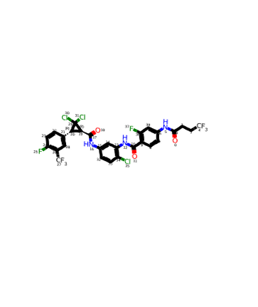 O=C(CCC(F)(F)F)Nc1ccc(C(=O)Nc2cc(NC(=O)[C@H]3[C@H](c4ccc(F)c(C(F)(F)F)c4)C3(Cl)Cl)ccc2Cl)c(F)c1